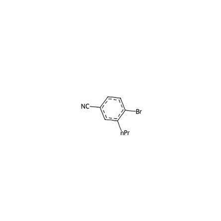 CCCc1cc(C#N)ccc1Br